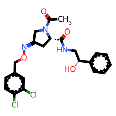 CC(=O)N1C/C(=N/OCc2ccc(Cl)c(Cl)c2)C[C@H]1C(=O)NC[C@@H](O)c1ccccc1